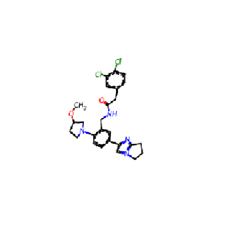 COC1CCN(c2ccc(-c3cn4c(n3)CCC4)cc2CNC(=O)Cc2ccc(Cl)c(Cl)c2)C1